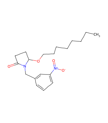 CCCCCCCCOC1CCC(=O)N1Cc1cccc([N+](=O)[O-])c1